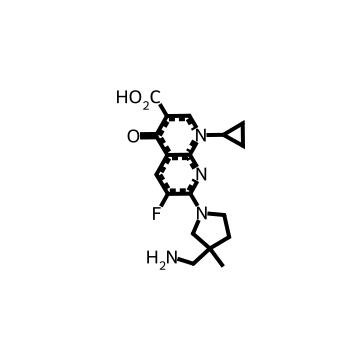 CC1(CN)CCN(c2nc3c(cc2F)c(=O)c(C(=O)O)cn3C2CC2)C1